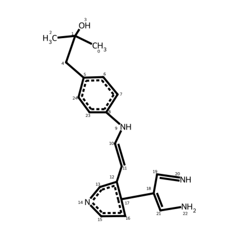 CC(C)(O)Cc1ccc(N/C=C/c2cnccc2/C(C=N)=C/N)cc1